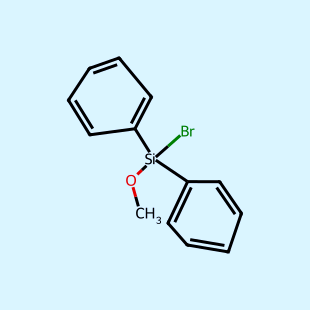 CO[Si](Br)(c1ccccc1)c1ccccc1